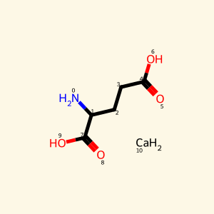 NC(CCC(=O)O)C(=O)O.[CaH2]